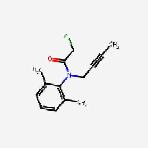 CC#CCN(C(=O)CCl)c1c(C)cccc1C